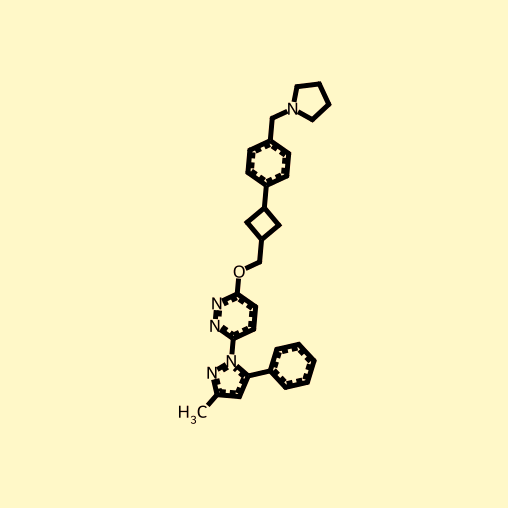 Cc1cc(-c2ccccc2)n(-c2ccc(OCC3CC(c4ccc(CN5CCCC5)cc4)C3)nn2)n1